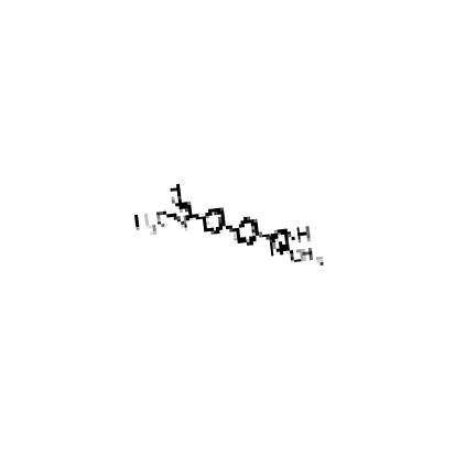 Cc1nc(-c2ccc(-c3ccc(-c4c[nH]c(C)n4)cc3)cc2)c[nH]1